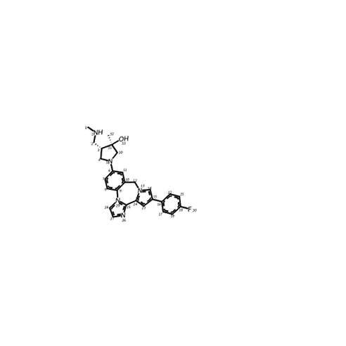 CNC[C@H]1CN(c2ccc3c(c2)Cn2cc(-c4ccc(F)cc4)cc2-c2nccn2-3)C[C@]1(C)O